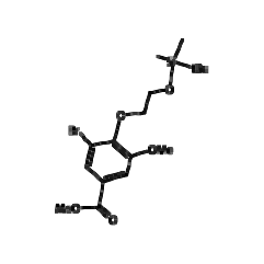 COC(=O)c1cc(Br)c(OCCO[Si](C)(C)C(C)(C)C)c(OC)c1